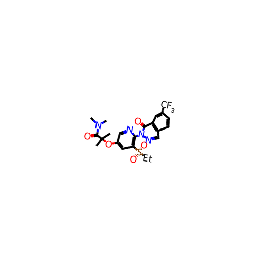 CCS(=O)(=O)c1cc(OC(C)(C)C(=O)N(C)C)cnc1-n1ncc2ccc(C(F)(F)F)cc2c1=O